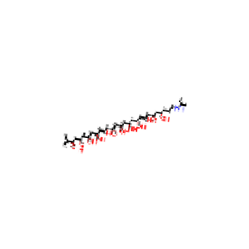 CC(C)NCCCC(O)CC(O)C/C=C/C(O)CC(O)CC(O)CC(O)C/C=C/C(O)CC(O)CC(O)CC(=O)C(C)C